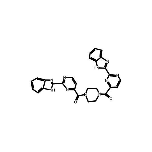 O=C(c1ccnc(-c2nc3ccccc3[nH]2)n1)N1CCN(C(=O)c2ccnc(-c3nc4ccccc4[nH]3)n2)CC1